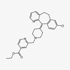 CCOC(=O)c1ccnc(CN2CCC(=C3c4ccc(Cl)cc4CCc4cccnc43)CC2)c1